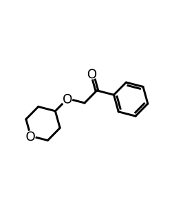 O=C(COC1CCOCC1)c1ccccc1